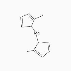 CC1=CC=C[CH]1[Mg][CH]1C=CC=C1C